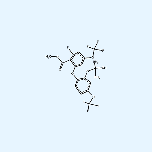 BC(B)(O)Oc1cc(OC(F)(F)F)ccc1Oc1cc(OC(F)(F)F)cc(F)c1C(=O)OC